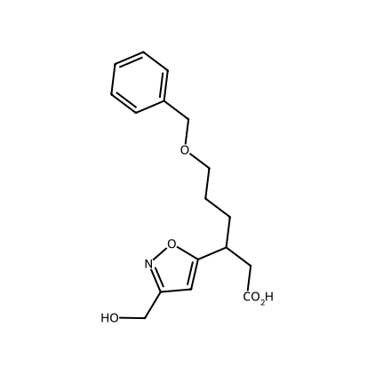 O=C(O)CC(CCCOCc1ccccc1)c1cc(CO)no1